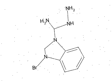 NNC(N)N1CN(Br)c2ccccc21